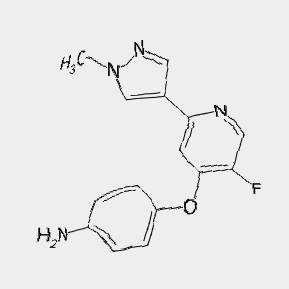 Cn1cc(-c2cc(Oc3ccc(N)cc3)c(F)cn2)cn1